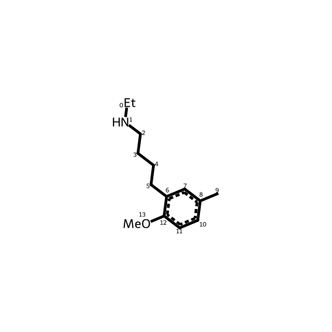 CCNCCCCc1cc(C)ccc1OC